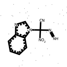 N#CC(N=N)(n1cnc2ccccc21)[N+](=O)[O-]